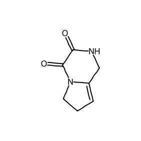 O=C1NCC2=CCCN2C1=O